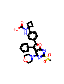 CS(=O)(=O)c1nc(N2CCOCC2)c2c(-c3ccccc3)c(-c3ccc(C4(NC(=O)O)CCC4)cc3)oc2n1